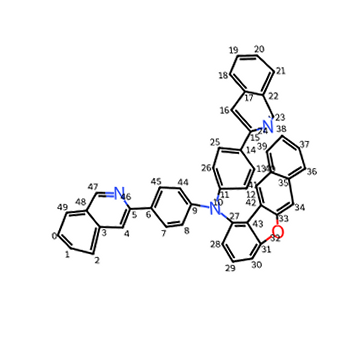 c1ccc2cc(-c3ccc(N(c4ccc(-c5cc6ccccc6cn5)cc4)c4cccc5oc6cc7ccccc7cc6c45)cc3)ncc2c1